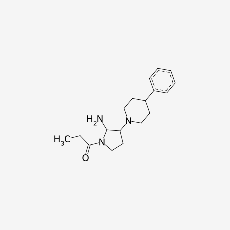 CCC(=O)N1CCC(N2CCC(c3ccccc3)CC2)C1N